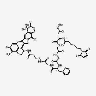 CC[C@@]1(O)C(=O)OCc2c1cc1n(c2=O)Cc2c-1nc1cc(F)c(C)c3c1c2C(NC(=O)CCCNC(=O)CNC(=O)[C@H](Cc1ccccc1)NC(=O)CNC(=O)CNC(=O)[C@H](CC(=O)OC(C)(C)C)NC(=O)CCCCCN1C(=O)C=CC1=O)CC3